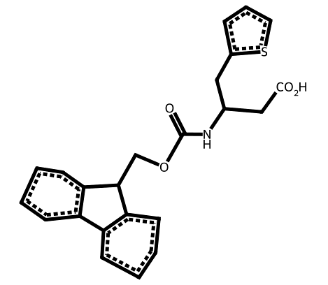 O=C(O)CC(Cc1cccs1)NC(=O)OCC1c2ccccc2-c2ccccc21